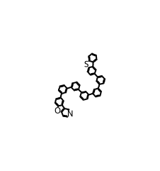 c1cc(-c2cccc(-c3cccc(-c4ccc5oc6ccncc6c5c4)c3)c2)cc(-c2cccc(-c3cccc(-c4ccc5sc6ccccc6c5c4)c3)c2)c1